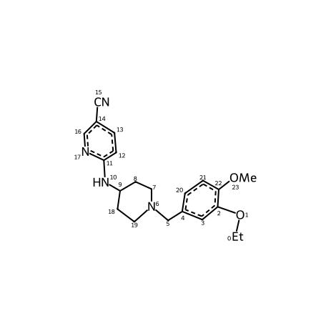 CCOc1cc(CN2CCC(Nc3ccc(C#N)cn3)CC2)ccc1OC